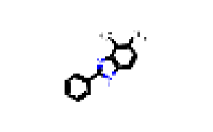 Cc1ccc2[nH]c(-c3ccccc3)nc2c1C